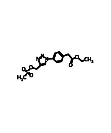 CCOC(=O)Cc1ccc(-n2cc(COS(C)(=O)=O)nn2)cc1